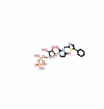 O=c1ccn([C@@H]2O[C@H](COP(=O)(O)OP(=O)(O)O)C(O)C2O)c(=O)n1Cc1ncc(-c2ccccc2)s1